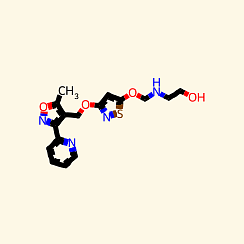 Cc1onc(-c2ccccn2)c1COc1cc(OCNCCO)sn1